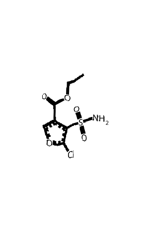 CCOC(=O)c1coc(Cl)c1S(N)(=O)=O